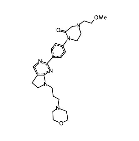 COCCN1CCN(c2ccc(-c3ncc4c(n3)N(CCCN3CCOCC3)CC4)cc2)C(=O)C1